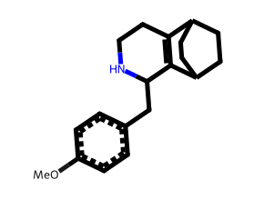 COc1ccc(CC2NCCC3=C2C2CCC3CC2)cc1